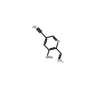 C#Cc1cnc(C=C)c(NC)c1